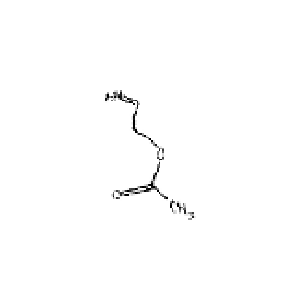 CC(=O)OCC=N